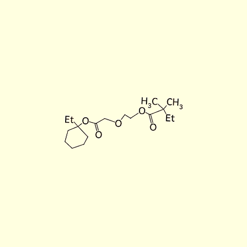 CCC1(OC(=O)COCCOC(=O)C(C)(C)CC)CCCCC1